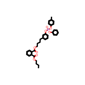 CCCCOC(=O)c1ccccc1C(=O)OCCCCc1cccc(OP(=O)(Oc2ccccc2)Oc2ccc(C)cc2)c1